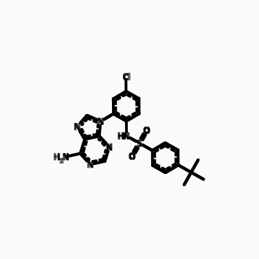 CC(C)(C)c1ccc(S(=O)(=O)Nc2ccc(Cl)cc2-n2cnc3c(N)ncnc32)cc1